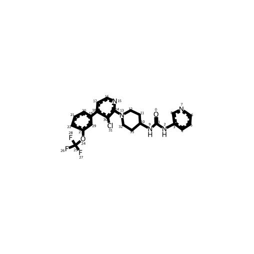 O=C(Nc1cccnc1)NC1CCN(c2nccc(-c3cccc(OC(F)(F)F)c3)c2Cl)CC1